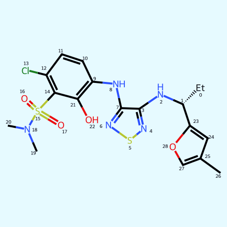 CC[C@@H](Nc1nsnc1Nc1ccc(Cl)c(S(=O)(=O)N(C)C)c1O)c1cc(C)co1